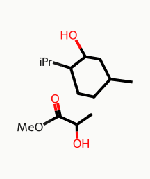 CC1CCC(C(C)C)C(O)C1.COC(=O)C(C)O